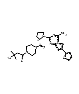 CC(C)(O)CC(=O)N1CCN(C(=O)[C@@H]2CCCN2c2nc(N)n3nc(-c4ccco4)nc3n2)CC1